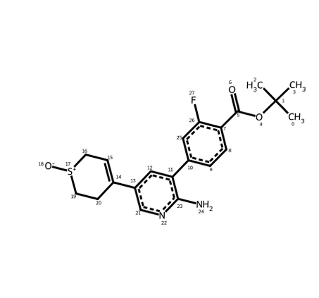 CC(C)(C)OC(=O)c1ccc(-c2cc(C3=CC[S+]([O-])CC3)cnc2N)cc1F